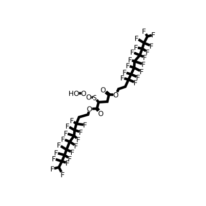 O=C(CC(SOOO)C(=O)OCCC(F)(F)C(F)(F)C(F)(F)C(F)(F)C(F)(F)C(F)(F)C(F)(F)C(F)F)OCCC(F)(F)C(F)(F)C(F)(F)C(F)(F)C(F)(F)C(F)(F)C(F)(F)C(F)F